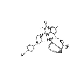 Cc1cc([C@@H](C)Nc2ccccc2C(=O)O)c2nc(N3CCN(c4ccc(C#N)cc4)C[C@H]3C)c(C)c(=O)n2c1